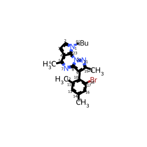 CCC(C)n1ccc2c(C)nc3c(-c4c(C)cc(C)cc4Br)c(C)nn3c21